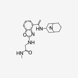 C=C(NC1CC2CCCC(C1)N2C)c1cccc2oc(NCC(=O)NC)nc12